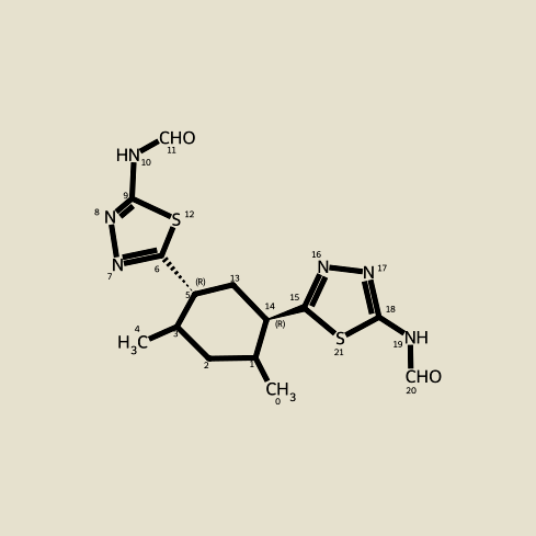 CC1CC(C)[C@H](c2nnc(NC=O)s2)C[C@H]1c1nnc(NC=O)s1